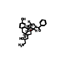 NCC(O)CN1CC[C@@]23c4cc(O)ccc4C[C@@H]1[C@]21CC[C@@H]2[C@H]3[C@@H](CN2C(=O)c2ccccc2)C1